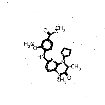 COC(=O)c1ccc(Nc2ccc3c(n2)N(C2CCCC2)[C@H](C)C(=O)N3C)c(OC)c1